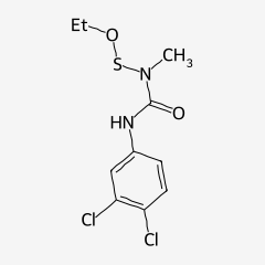 CCOSN(C)C(=O)Nc1ccc(Cl)c(Cl)c1